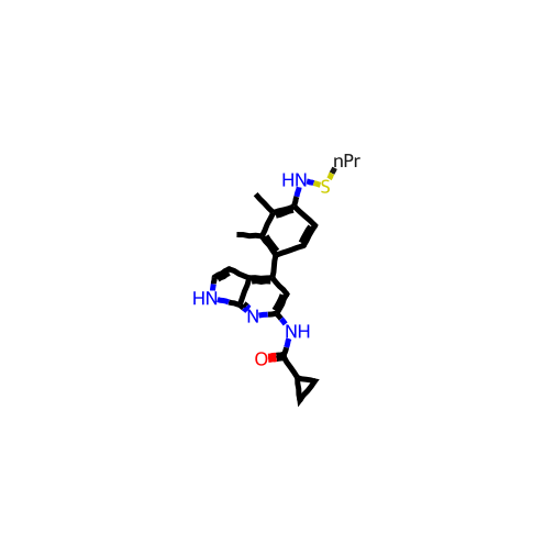 CCCSNc1ccc(-c2cc(NC(=O)C3CC3)nc3[nH]ccc23)c(C)c1C